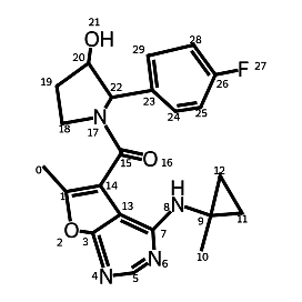 Cc1oc2ncnc(NC3(C)CC3)c2c1C(=O)N1CCC(O)C1c1ccc(F)cc1